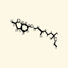 CCOC(C)(C)CCC/C(C)=C/COc1ccc2c(c1)OC(C)C2